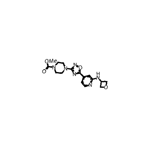 COC(=O)N1CCN(c2noc(-c3ccnc(NC4COC4)c3)n2)CC1